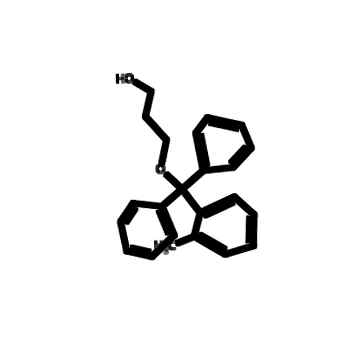 Cc1ccccc1C(OCCCO)(c1ccccc1)c1ccccc1